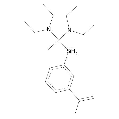 C=C(C)c1cccc([SiH2]C(C)(N(CC)CC)N(CC)CC)c1